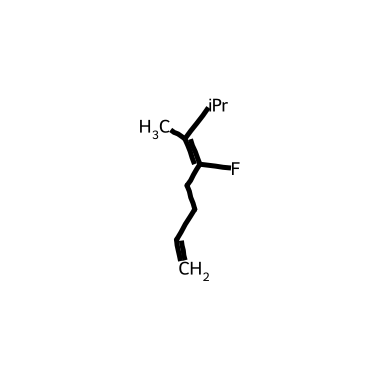 C=CCC/C(F)=C(\C)C(C)C